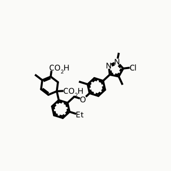 CCc1cccc(C2(C(=O)O)C=CC(C)=C(C(=O)O)C2)c1COc1ccc(-c2nn(C)c(Cl)c2C)cc1C